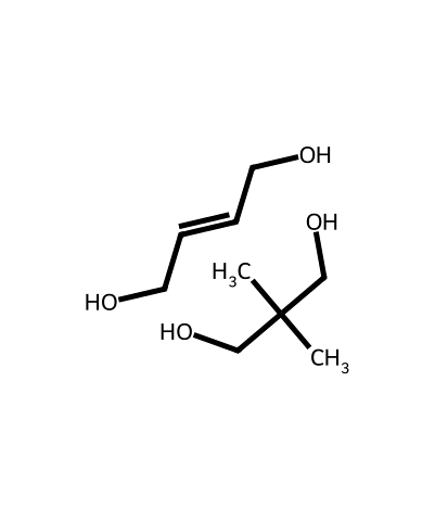 CC(C)(CO)CO.OC/C=C/CO